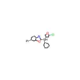 CC(C)c1ccc2nc([SiH](c3ccccc3)c3coc(Cl)c3)oc2c1